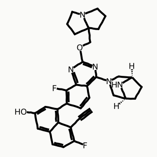 C#Cc1c(F)ccc2cc(O)cc(-c3ccc4c(N5C[C@H]6CC[C@@H](C5)N6)nc(OCC56CCCN5CCC6)nc4c3F)c12